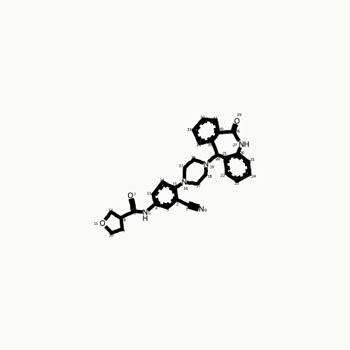 N#Cc1cc(NC(=O)C2CCOC2)ccc1N1CCN(C2c3ccccc3NC(=O)c3ccccc32)CC1